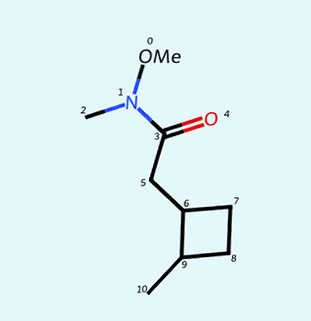 CON(C)C(=O)CC1CCC1C